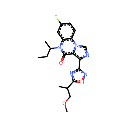 CCC(C)n1c(=O)c2c(-c3noc(C(C)COC)n3)ncn2c2ccc(F)cc21